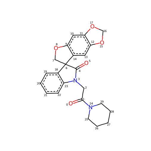 O=C(CN1C(=O)C2(COc3cc4c(cc32)OCO4)c2ccccc21)N1CCCCC1